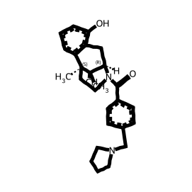 CC1(C)[C@H]2Cc3c(O)cccc3[C@]1(C)CCN2C(=O)c1ccc(CN2CCCC2)cc1